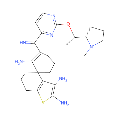 C[C@H](Oc1nccc(C(=N)C2=C(N)C3(CCC2)CCCc2sc(N)c(N)c23)n1)[C@@H]1CCCN1C